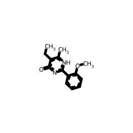 CCc1c(C)[nH]c(-c2ccccc2OC)nc1=O